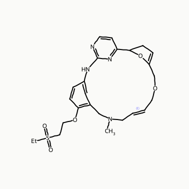 CCS(=O)(=O)CCOc1ccc2cc1CN(C)C/C=C/COCC1=CCC(O1)c1ccnc(n1)N2